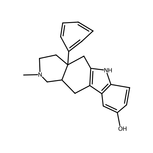 CN1CCC2(c3ccccc3)Cc3[nH]c4ccc(O)cc4c3CC2C1